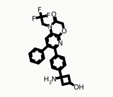 NC1(c2ccc(-c3nc4c(cc3-c3ccccc3)N(CC(F)(F)F)C(=O)CO4)cc2)CC(O)C1